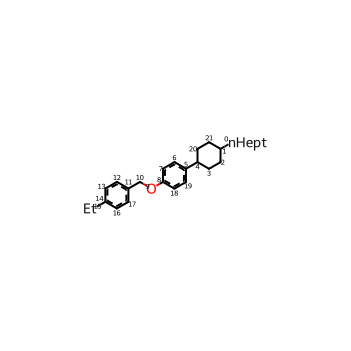 CCCCCCCC1CCC(c2ccc(OCc3ccc(CC)cc3)cc2)CC1